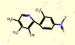 Cc1cnc(-c2ccc([N+](=S)[S-])cc2C(Cl)(Cl)Cl)c(C#N)c1C